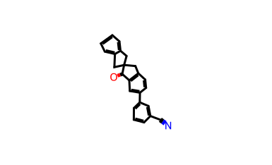 N#Cc1cccc(-c2ccc3c(c2)C(=O)C2(Cc4ccccc4C2)C3)c1